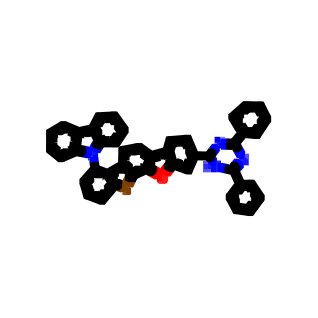 c1ccc(C2=NC(c3ccc4c(c3)oc3c4ccc4c3sc3cccc(-n5c6ccccc6c6ccccc65)c34)NC(c3ccccc3)=N2)cc1